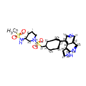 CS(=O)(=O)NC1CCCN(S(=O)(=O)CC2CCC(c3cncc4cnc5[nH]ccc5c34)CC2)C1